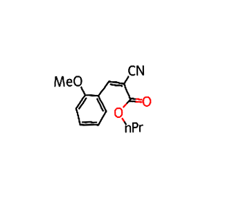 CCCOC(=O)C(C#N)=Cc1ccccc1OC